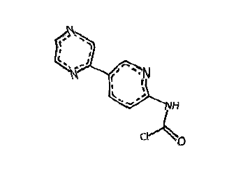 O=C(Cl)Nc1ccc(-c2cnccn2)cn1